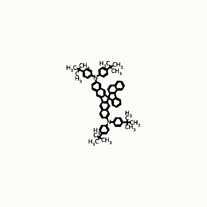 CC(C)(C)c1ccc(N(c2ccc(C(C)(C)C)cc2)c2ccc3cc4c(cc3c2)C2(c3cc5cc(N(c6ccc(C(C)(C)C)cc6)c6ccc(C(C)(C)C)cc6)ccc5cc3-4)c3ccccc3-c3c2ccc2ccccc32)cc1